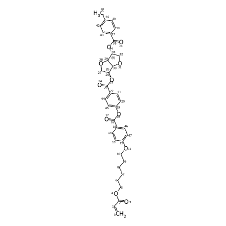 C=CC(=O)OCCCCCCOc1ccc(C(=O)Oc2ccc(C(=O)O[C@H]3COC4C3OC[C@H]4OC(=O)c3ccc(C)cc3)cc2)cc1